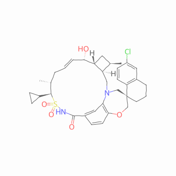 C[C@@H]1C[C@@H]2[C@@H]1CN1C[C@@]3(CCCc4cc(Cl)ccc43)COc3ccc(cc31)C(=O)NS(=O)(=O)[C@@H](C1CC1)[C@H](C)C/C=C/[C@@H]2O